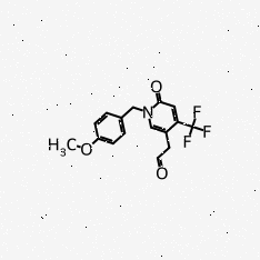 COc1ccc(Cn2cc(CC=O)c(C(F)(F)F)cc2=O)cc1